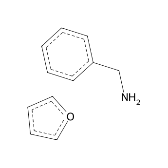 NCc1ccccc1.c1ccoc1